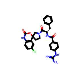 N=C(N)Nc1ccc(C(=O)N[C@@H](Cc2ccccc2)C(=O)N2CCC3(C2)OC(=O)Nc2ccc(Cl)cc23)cc1